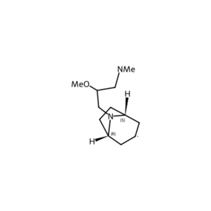 CNCC(CN1[C@@H]2C[CH]C[C@H]1CC2)OC